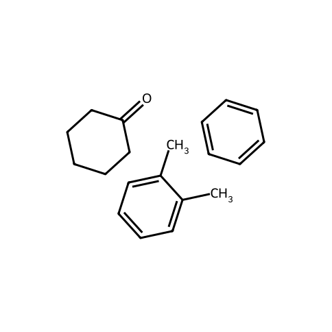 Cc1ccccc1C.O=C1CCCCC1.c1ccccc1